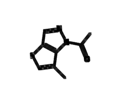 CC(=O)n1ncc2scc(C)c21